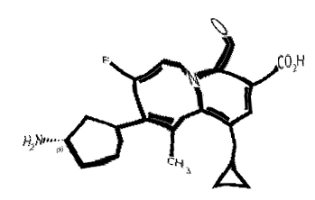 Cc1c(C2CC[C@H](N)C2)c(F)cn2c(=O)c(C(=O)O)cc(C3CC3)c12